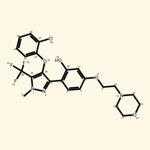 Cn1nc(-c2ccc(OCCN3CCOCC3)cc2O)c(Oc2ccccc2Cl)c1C(F)(F)F